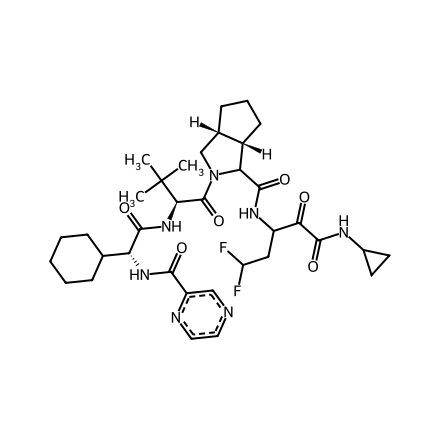 CC(C)(C)[C@H](NC(=O)[C@H](NC(=O)c1cnccn1)C1CCCCC1)C(=O)N1C[C@@H]2CCC[C@@H]2C1C(=O)NC(CC(F)F)C(=O)C(=O)NC1CC1